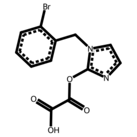 O=C(O)C(=O)Oc1nccn1Cc1ccccc1Br